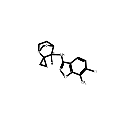 FC(F)(F)c1c(Cl)ccc2c(N[C@H]3C4CCN(CC4)C34CC4)noc12